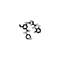 C=Cc1cc(Nc2ncc(C(=O)Nc3c(C)cccc3Cl)s2)cc(C(=O)NC2CCNCC2)c1